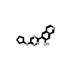 Oc1cc2cnccc2cc1-c1ncc(SC2CCCC2)nn1